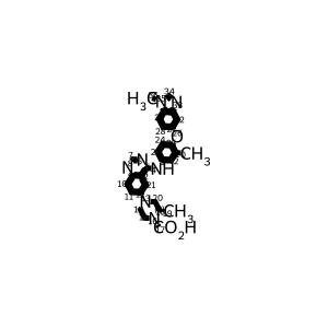 Cc1cc(Nc2ncnc3ccc(N4CCN(C(=O)O)[C@H](C)C4)cc23)ccc1Oc1ccc2c(c1)ncn2C